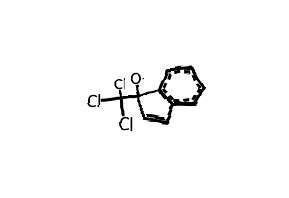 [O]C1(C(Cl)(Cl)Cl)C=Cc2ccccc21